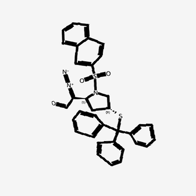 [N-]=[N+]=C(C=O)[C@@H]1C[C@@H](SC(c2ccccc2)(c2ccccc2)c2ccccc2)CN1S(=O)(=O)c1ccc2ccccc2c1